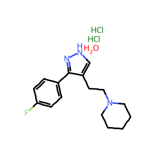 Cl.Cl.Fc1ccc(-c2n[nH]cc2CCN2CCCCC2)cc1.O